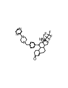 CC12C[C@H](c3ccc(CN4CCN(c5cnccn5)CC4)cc3)C3C4CCC(=O)C=C4CCC3C1CC[C@@]2(O)C(F)(F)C(F)(F)F